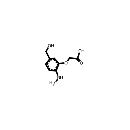 CNc1ccc(CO)cc1OCC(=O)O